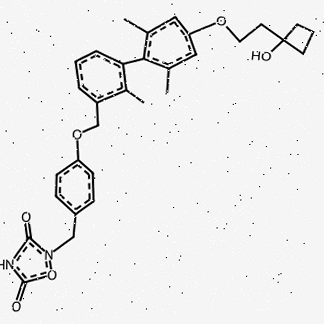 Cc1cc(OCCC2(O)CCC2)cc(C)c1-c1cccc(COc2ccc(Cn3oc(=O)[nH]c3=O)cc2)c1C